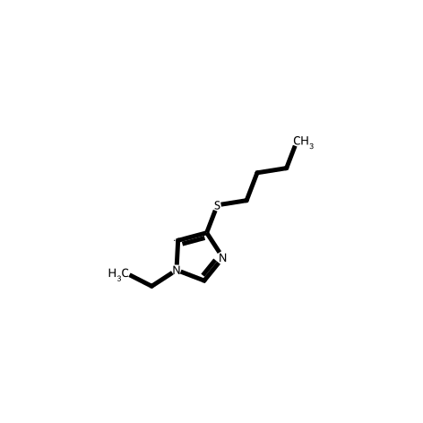 CCCCSc1[c]n(CC)cn1